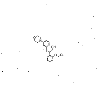 COCOc1ccccc1C(CO)Sc1cccc(N2CCOCC2)c1